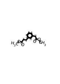 COC(=O)CCc1cccc(CC(=O)OC)c1